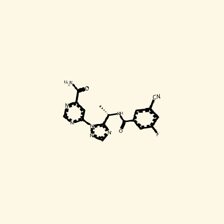 C[C@H](NC(=O)c1cc(F)cc(C#N)c1)c1ncnn1-c1cc(C(N)=O)ncn1